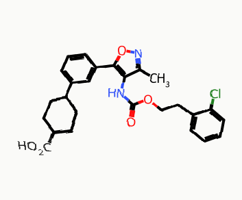 Cc1noc(-c2cccc(C3CCC(C(=O)O)CC3)c2)c1NC(=O)OCCc1ccccc1Cl